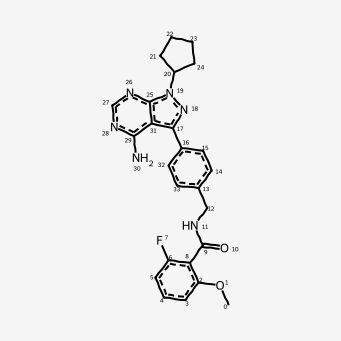 COc1cccc(F)c1C(=O)NCc1ccc(-c2nn(C3CCCC3)c3ncnc(N)c23)cc1